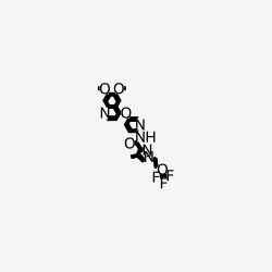 COc1cc2nccc(Oc3ccc(NC(=O)c4nn(CCOC(F)(F)F)cc4C)nc3)c2cc1OC